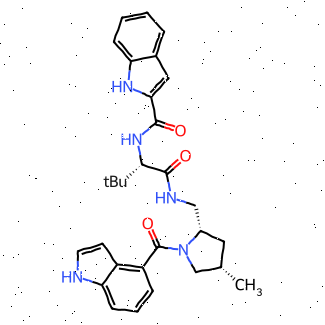 C[C@H]1C[C@@H](CNC(=O)[C@@H](NC(=O)c2cc3ccccc3[nH]2)C(C)(C)C)N(C(=O)c2cccc3[nH]ccc23)C1